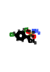 CC(c1ccc(Cl)cc1Cl)S(N)(=O)=O